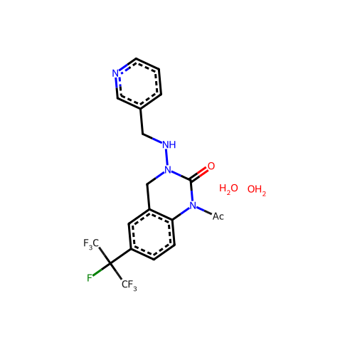 CC(=O)N1C(=O)N(NCc2cccnc2)Cc2cc(C(F)(C(F)(F)F)C(F)(F)F)ccc21.O.O